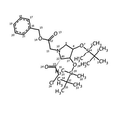 CC(C)(C)[Si](C)(C)OC1CN(CC(=O)OCc2ccccc2)[C@@H](C(=O)CCl)C1O[Si](C)(C)C(C)(C)C